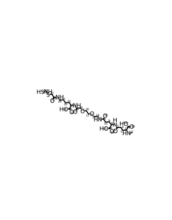 CNC(CCC(=O)NC(CCC(=O)NCCOCCOCC(=O)NC(CCCCNC(=O)CSNS)C(=O)O)C(=O)O)C(=O)O